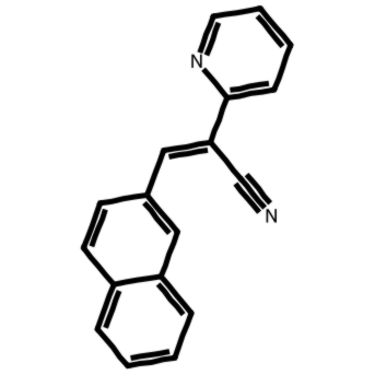 N#CC(=Cc1ccc2ccccc2c1)c1ccccn1